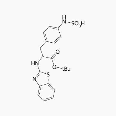 CC(C)(C)OC(=O)C(Cc1ccc(NS(=O)(=O)O)cc1)Nc1nc2ccccc2s1